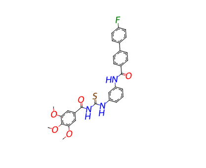 COc1cc(C(=O)NC(=S)Nc2cccc(NC(=O)c3ccc(-c4ccc(F)cc4)cc3)c2)cc(OC)c1OC